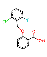 O=C(O)c1ccccc1OCc1c(F)cccc1Cl